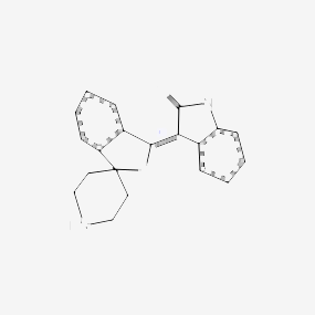 O=C1Nc2ccccc2/C1=C1\OC2(CCNCC2)c2ccccc21